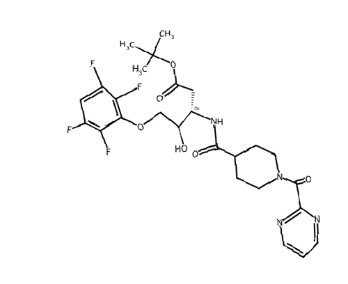 CC(C)(C)OC(=O)C[C@H](NC(=O)C1CCN(C(=O)c2ncccn2)CC1)C(O)COc1c(F)c(F)cc(F)c1F